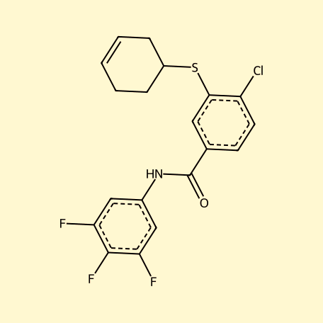 O=C(Nc1cc(F)c(F)c(F)c1)c1ccc(Cl)c(SC2CC=CCC2)c1